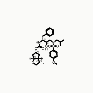 COc1ccc(S(=O)(=O)N(CC(C)C)C[C@@H](O)[C@H](Cc2ccccc2)NC(=O)O[C@@H]2C[C@@H]3[C@H](C)CO[C@@H]3C2)cc1